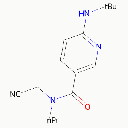 CCCN(CC#N)C(=O)c1ccc(NC(C)(C)C)nc1